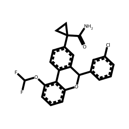 NC(=O)C1(c2ccc3c(c2)C(c2cccc(Cl)c2)Oc2cccc(OC(F)F)c2-3)CC1